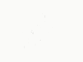 CCOC(OCC)c1ccc(F)c(Cl)n1